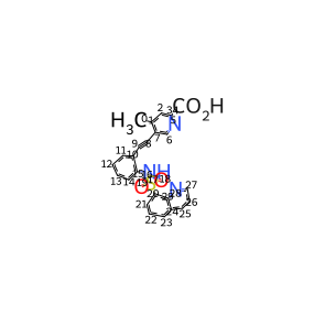 Cc1cc(C(=O)O)ncc1C#Cc1ccccc1NS(=O)(=O)c1cccc2cccnc12